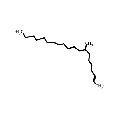 [CH2]C=CCCCCC(C)CCCCCCCCCCC[CH2]